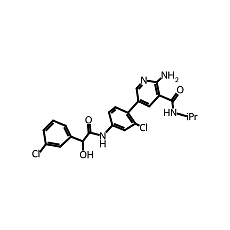 CC(C)NC(=O)c1cc(-c2ccc(NC(=O)C(O)c3cccc(Cl)c3)cc2Cl)cnc1N